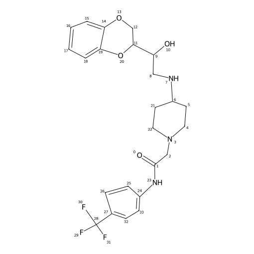 O=C(CN1CCC(NCC(O)C2COc3ccccc3O2)CC1)Nc1ccc(C(F)(F)F)cc1